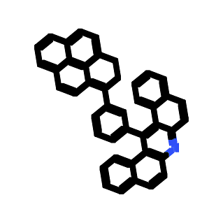 c1cc(C2=c3ccc4cccc5ccc(c3c54)CC2)cc(-c2c3c(ccc4ccccc43)nc3ccc4ccccc4c23)c1